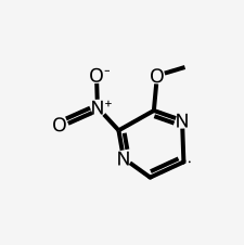 COc1n[c]cnc1[N+](=O)[O-]